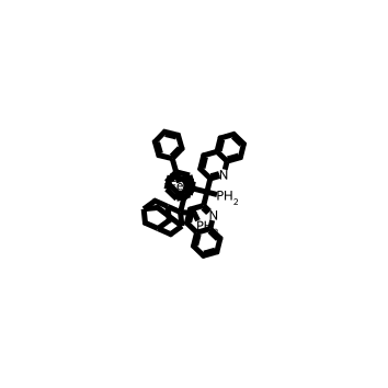 PCC1([C]23[CH]4[C]5(c6ccccc6)[CH]6[C]2(C(P)(c2ccc7ccccc7n2)c2ccc7ccccc7n2)[Fe]64532789[CH]3[CH]2[CH]7[CH]8[CH]39)C2CC3CC(C2)CC1C3